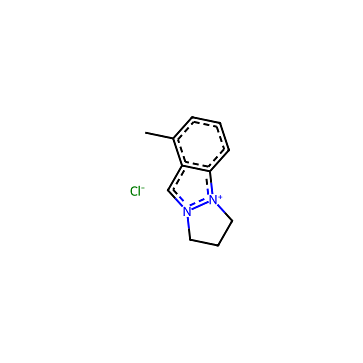 Cc1cccc2c1cn1[n+]2CCC1.[Cl-]